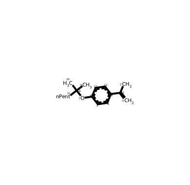 C=C(C)c1ccc(OC(C)(C)CCCCC)cc1